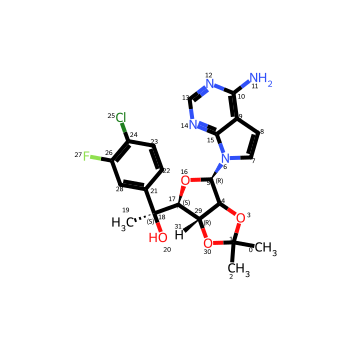 CC1(C)OC2[C@H](n3ccc4c(N)ncnc43)O[C@H]([C@@](C)(O)c3ccc(Cl)c(F)c3)[C@H]2O1